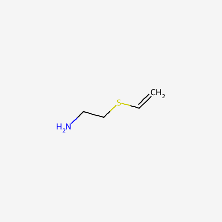 C=CSCCN